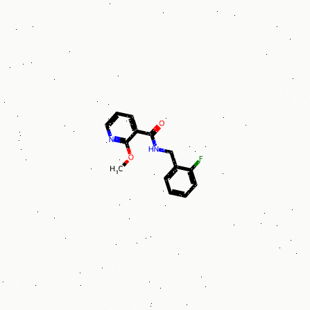 COc1ncccc1C(=O)NCc1ccccc1F